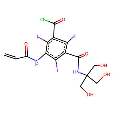 C=CC(=O)Nc1c(I)c(C(=O)Cl)c(I)c(C(=O)NC(CO)(CO)CO)c1I